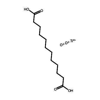 O=C(O)CCCCCCCCCCC(=O)O.[O-2].[O-2].[Ti+4]